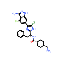 NC[C@H]1CC[C@H](C(=O)N[C@@H](Cc2ccccc2)c2nc(-c3cc(F)c4c(N)n[nH]c4c3)c(Cl)[nH]2)CC1